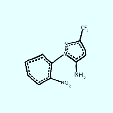 Nc1cc(C(F)(F)F)nn1-c1ccccc1[N+](=O)[O-]